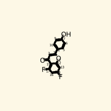 O=c1cc(-c2ccc(O)cc2)oc2cc(F)cc(F)c12